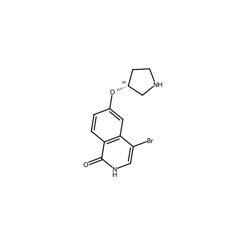 O=c1[nH]cc(Br)c2cc(O[C@@H]3CCNC3)ccc12